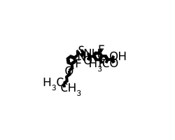 CC(=Cc1c(F)cc(C(=O)Nc2nc(-c3cccc(COCCCC(C)C)c3F)cs2)cc1F)C(=O)O